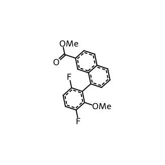 COC(=O)c1ccc2cccc(-c3c(F)ccc(F)c3OC)c2c1